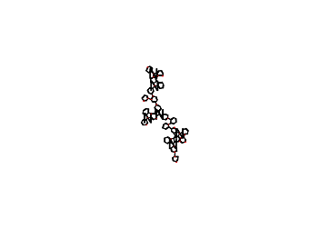 c1ccc(-c2ccc(-n3c4ccccc4c4c5c6cc(-c7ccccc7-c7ccccc7-c7ccc(-n8c9ccc(-c%10ccc(-c%11cccc(-n%12c%13ccccc%13c%13c%14c%15ccccc%15n(-c%15ccccc%15)c%14ccc%13%12)c%11)c(-c%11ccccc%11)c%10)cc9c9c%10c%11ccccc%11n(-c%11ccccc%11)c%10ccc98)cc7)ccc6n(-c6ccccc6-c6ccccc6)c5ccc43)cc2)cc1